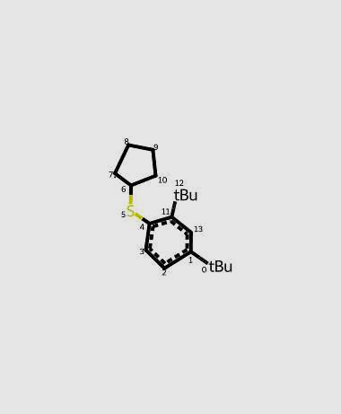 CC(C)(C)c1ccc(SC2[CH]CCC2)c(C(C)(C)C)c1